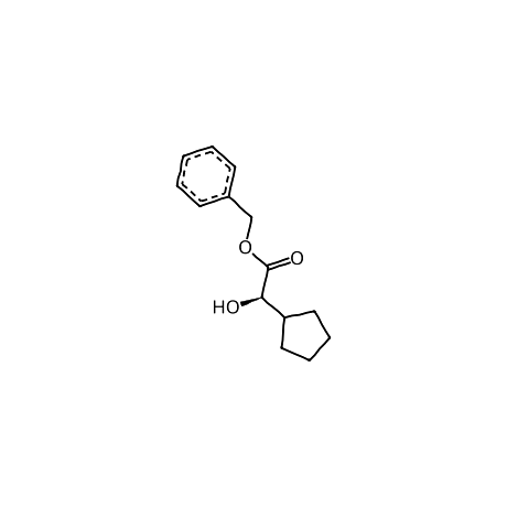 O=C(OCc1ccccc1)[C@H](O)C1CCCC1